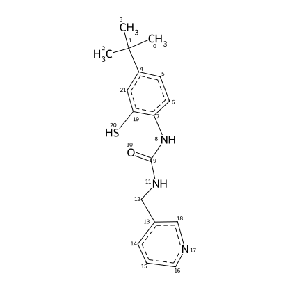 CC(C)(C)c1ccc(NC(=O)NCc2cccnc2)c(S)c1